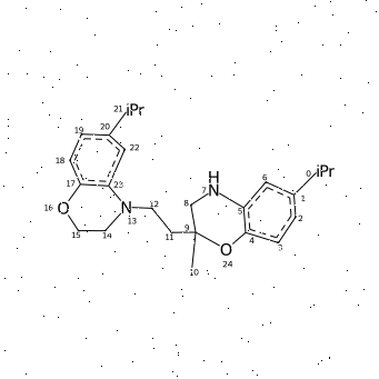 CC(C)c1ccc2c(c1)NCC(C)(CCN1CCOc3ccc(C(C)C)cc31)O2